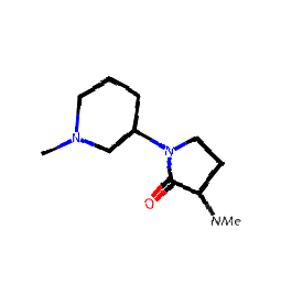 CNC1CCN(C2CCCN(C)C2)C1=O